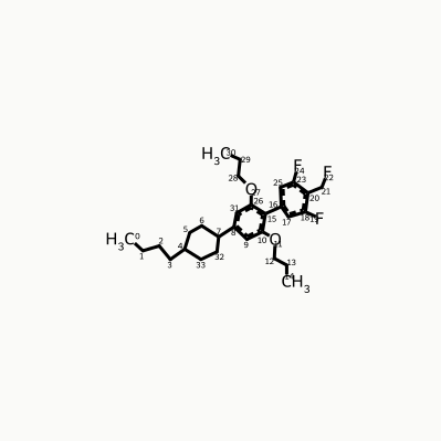 CCCCC1CCC(c2cc(OCCC)c(-c3cc(F)c(CF)c(F)c3)c(OCCC)c2)CC1